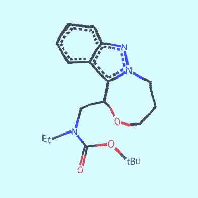 CCN(CC1OCCCn2nc3ccccc3c21)C(=O)OC(C)(C)C